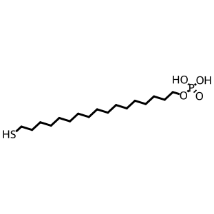 O=P(O)(O)OCCCCCCCCCCCCCCCCCS